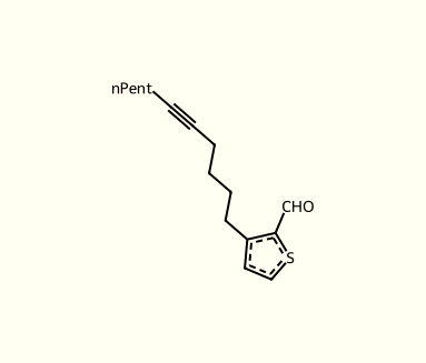 CCCCCC#CCCCCc1ccsc1C=O